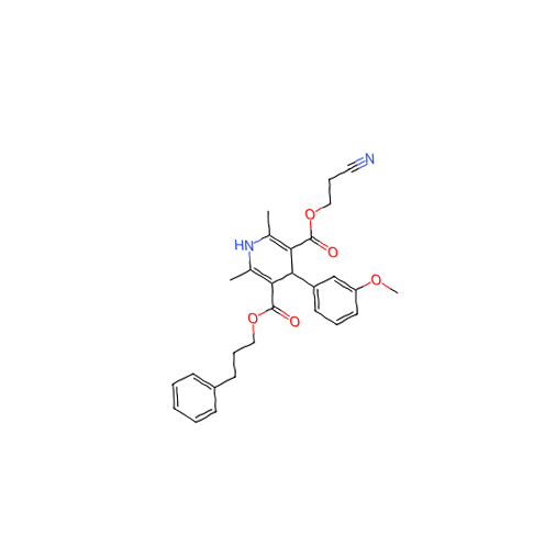 COc1cccc(C2C(C(=O)OCCC#N)=C(C)NC(C)=C2C(=O)OCCCc2ccccc2)c1